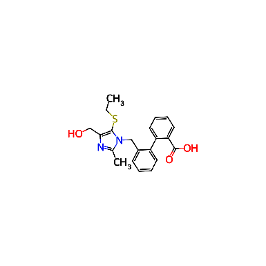 CCSc1c(CO)nc(C)n1Cc1ccccc1-c1ccccc1C(=O)O